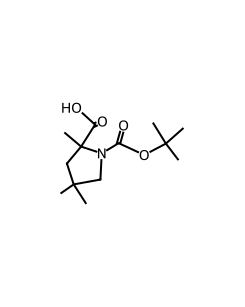 CC1(C)CN(C(=O)OC(C)(C)C)C(C)(C(=O)O)C1